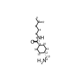 CC(C)CCCNC(=O)[C@H]1CC[C@H](CN)CC1